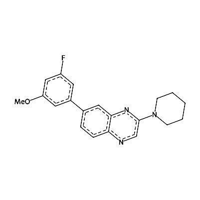 COc1cc(F)cc(-c2ccc3ncc(N4CCCCC4)nc3c2)c1